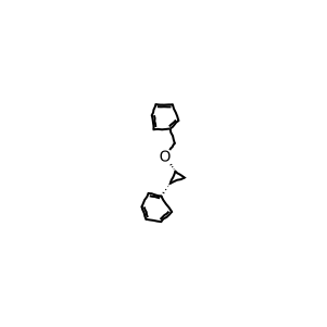 c1ccc(CO[C@@H]2C[C@@H]2c2ccccc2)cc1